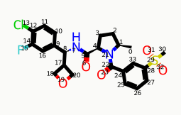 C[C@@H]1CC[C@H](C(=O)N[C@@H](c2ccc(Cl)c(F)c2)C2COC2)N1C(=O)c1cccc(S(C)(=O)=O)c1